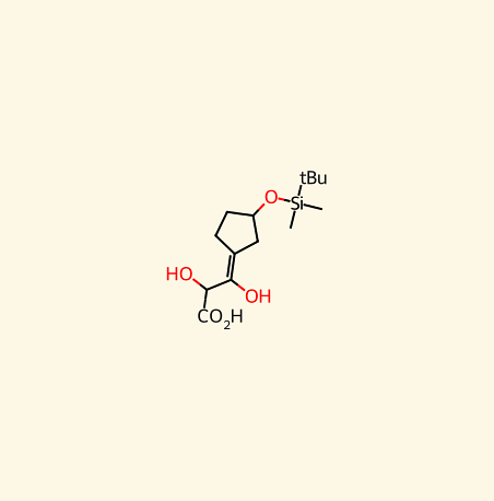 CC(C)(C)[Si](C)(C)OC1CCC(=C(O)C(O)C(=O)O)C1